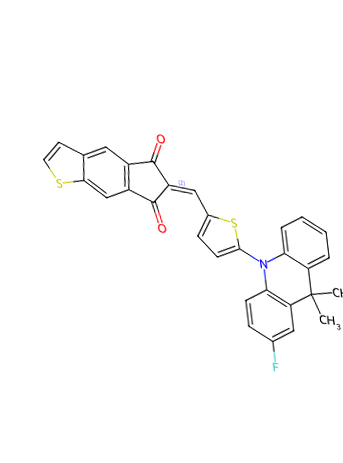 CC1(C)c2ccccc2N(c2ccc(/C=C3/C(=O)c4cc5ccsc5cc4C3=O)s2)c2ccc(F)cc21